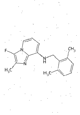 Cc1cccc(C)c1CNc1cccn2c(F)c(C)nc12